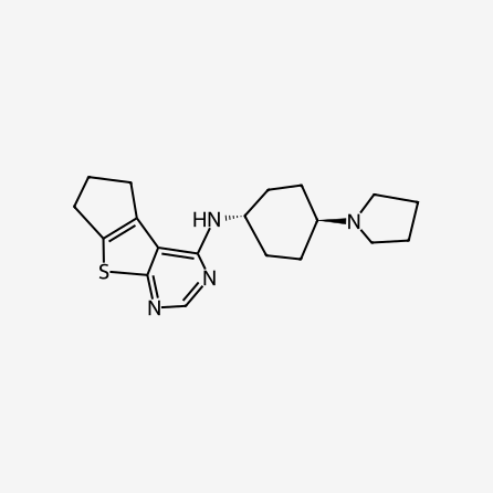 c1nc(N[C@H]2CC[C@H](N3CCCC3)CC2)c2c3c(sc2n1)CCC3